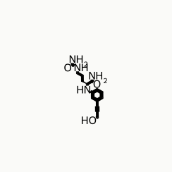 NC(=O)NCCC[C@H](Nc1cccc(C#CCO)c1)C(N)=O